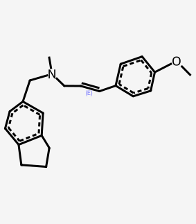 COc1ccc(/C=C/CN(C)Cc2ccc3c(c2)CCC3)cc1